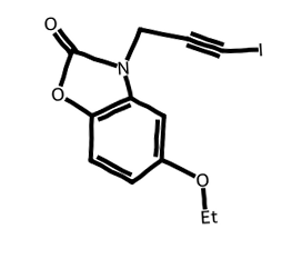 CCOc1ccc2oc(=O)n(CC#CI)c2c1